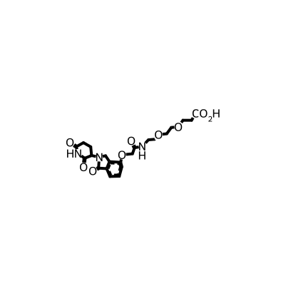 O=C(O)CCOCCOCCNC(=O)COc1cccc2c1CN(C1CCC(=O)NC1=O)C2=O